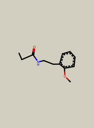 CCC(=O)NCCc1ccccc1OC